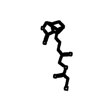 O=C(CCCC1C2CC3C(=O)OC1C3C2)COC(=O)CCl